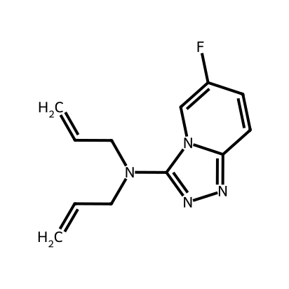 C=CCN(CC=C)c1nnc2ccc(F)cn12